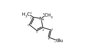 Cc1ccc(/C=C/C(C)(C)C)n1C